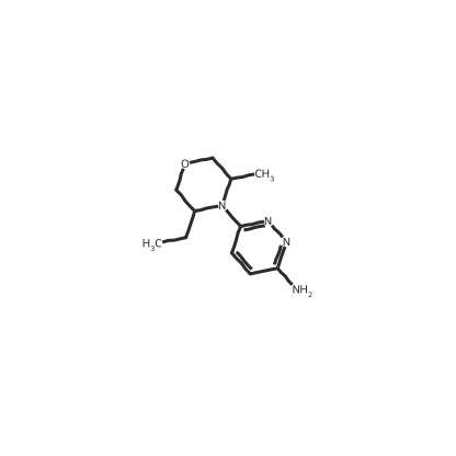 CCC1COCC(C)N1c1ccc(N)nn1